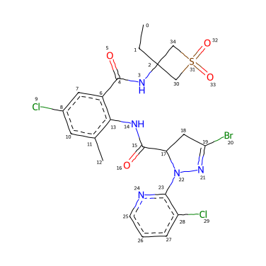 CCC1(NC(=O)c2cc(Cl)cc(C)c2NC(=O)C2CC(Br)=NN2c2ncccc2Cl)CS(=O)(=O)C1